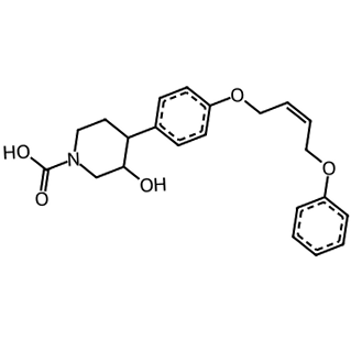 O=C(O)N1CCC(c2ccc(OC/C=C\COc3ccccc3)cc2)C(O)C1